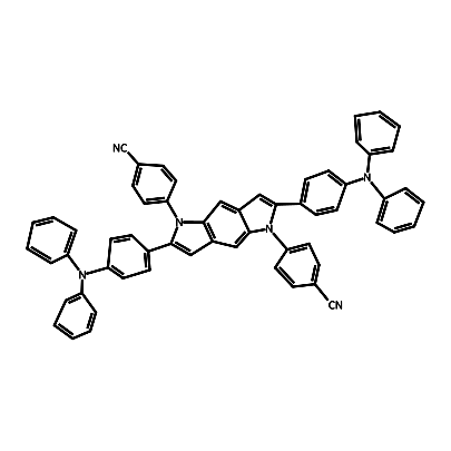 N#Cc1ccc(-n2c(-c3ccc(N(c4ccccc4)c4ccccc4)cc3)cc3cc4c(cc(-c5ccc(N(c6ccccc6)c6ccccc6)cc5)n4-c4ccc(C#N)cc4)cc32)cc1